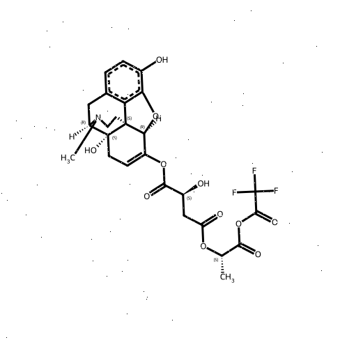 C[C@H](OC(=O)C[C@H](O)C(=O)OC1=CC[C@@]2(O)[C@H]3Cc4ccc(O)c5c4[C@@]2(CCN3C)[C@H]1O5)C(=O)OC(=O)C(F)(F)F